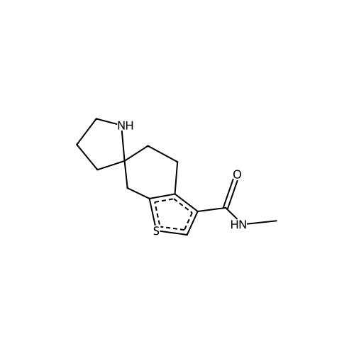 CNC(=O)c1csc2c1CCC1(CCCN1)C2